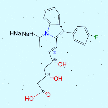 CC(C)n1c(/C=C/[C@H](O)C[C@H](O)CC(=O)O)c(-c2ccc(F)cc2)c2ccccc21.[NaH].[NaH]